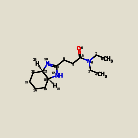 CCN(CC)C(=O)CCC1=N[C@@H]2CCCC[C@@H]2N1